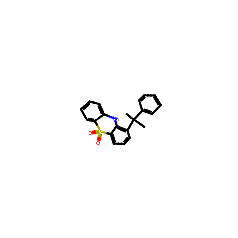 CC(C)(c1ccccc1)c1cccc2c1Nc1ccccc1S2(=O)=O